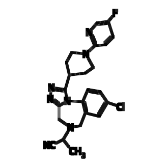 CC(C#N)N1Cc2cc(Cl)ccc2-n2c(nnc2C2CCN(c3ccc(F)cn3)CC2)C1